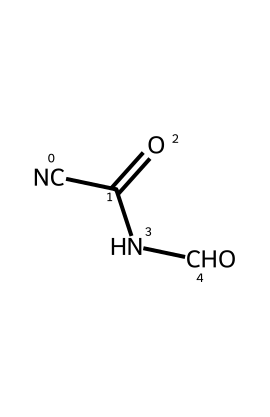 N#CC(=O)NC=O